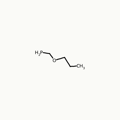 CCCOCP